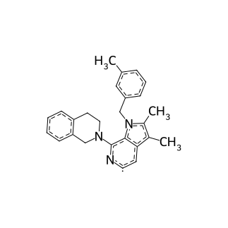 Cc1cccc(Cn2c(C)c(C)c3c[c]nc(N4CCc5ccccc5C4)c32)c1